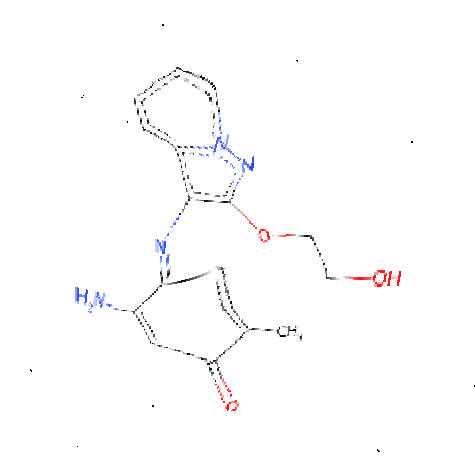 CC1=C/C(=N\c2c(OCCO)nn3ccccc23)C(N)=CC1=O